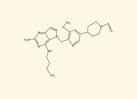 CCCCNc1nc(N)nc2cnn(Cc3ncc(C4CCN(C=O)CC4)cc3OC)c12